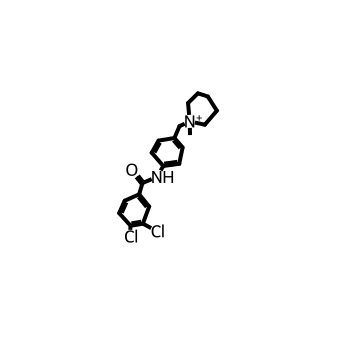 C[N+]1(Cc2ccc(NC(=O)c3ccc(Cl)c(Cl)c3)cc2)CCCCC1